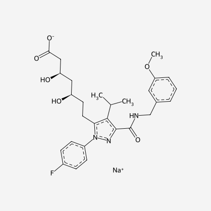 COc1cccc(CNC(=O)c2nn(-c3ccc(F)cc3)c(CC[C@@H](O)C[C@@H](O)CC(=O)[O-])c2C(C)C)c1.[Na+]